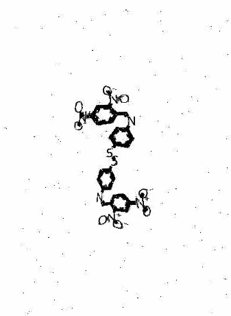 O=[N+]([O-])c1ccc(/C=N\c2ccc(SSc3ccc(/N=C\c4ccc([N+](=O)[O-])cc4[N+](=O)[O-])cc3)cc2)c([N+](=O)[O-])c1